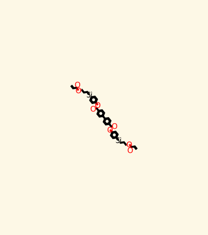 C=CC(=O)OCCC[Si](C)(C)c1ccc(OC(=O)c2ccc(-c3ccc(C(=O)Oc4ccc([Si](C)(C)CCCOC(=O)C=C)cc4)cc3)cc2)cc1